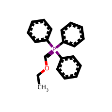 CCOC=P(c1ccccc1)(c1ccccc1)c1ccccc1